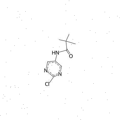 CC(C)(C)C(=O)Nc1cnc(Cl)nc1